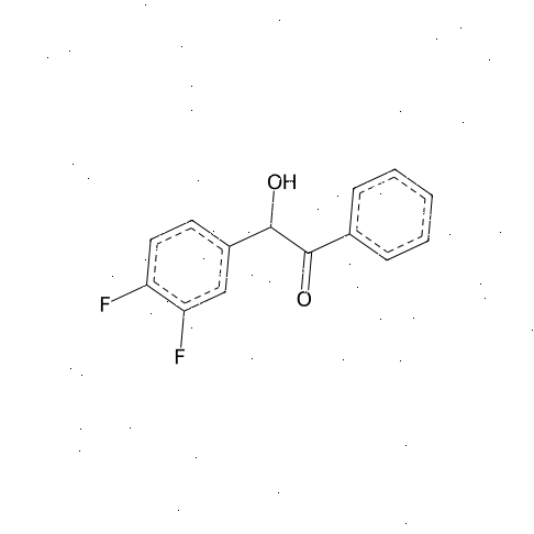 O=C(c1ccccc1)C(O)c1ccc(F)c(F)c1